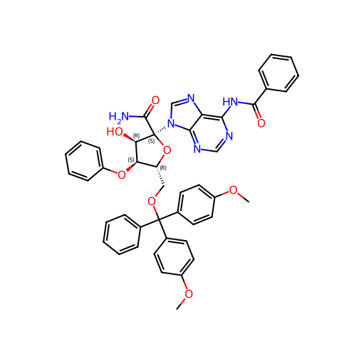 COc1ccc(C(OC[C@H]2O[C@@](C(N)=O)(n3cnc4c(NC(=O)c5ccccc5)ncnc43)[C@H](O)[C@@H]2Oc2ccccc2)(c2ccccc2)c2ccc(OC)cc2)cc1